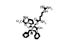 C[C@H](N)C(=O)N1CCC[C@H]1C(=O)N([C@@H](COC(=O)[C@@H](N)CCCNC(=N)N)C(=O)O)P(=O)(Cc1ccccc1)Cc1ccccc1